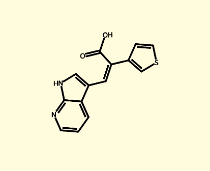 O=C(O)C(=Cc1c[nH]c2ncccc12)c1ccsc1